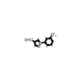 O=Cc1cnn(-c2cccc(C(F)(F)F)c2)c1